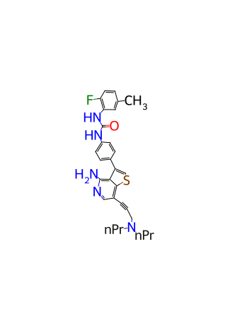 CCCN(CC#Cc1cnc(N)c2c(-c3ccc(NC(=O)Nc4cc(C)ccc4F)cc3)csc12)CCC